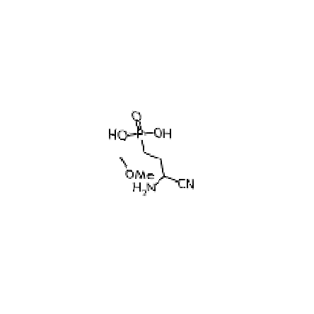 COC.N#CC(N)CCP(=O)(O)O